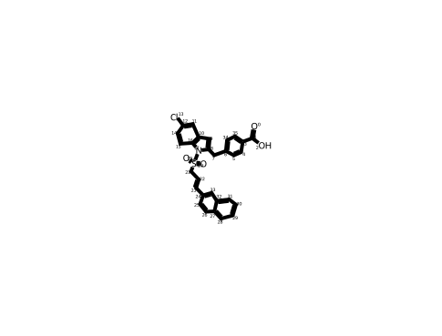 O=C(O)c1ccc(Cc2cc3cc(Cl)ccc3n2S(=O)(=O)CC=Cc2ccc3ccccc3c2)cc1